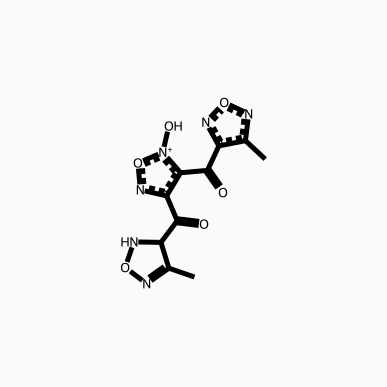 CC1=NONC1C(=O)c1no[n+](O)c1C(=O)c1nonc1C